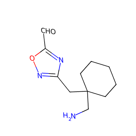 NCC1(Cc2noc(C=O)n2)CCCCC1